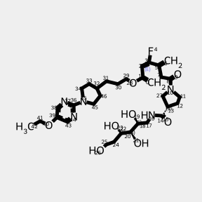 C=C(/C=C(/F)C(=C)CC(=O)N1CC[C@H](C(=O)NC[C@H](O)[C@@H](O)[C@H](O)CCO)C1)OCCCC1CCN(c2ncc(OCC)cn2)CC1